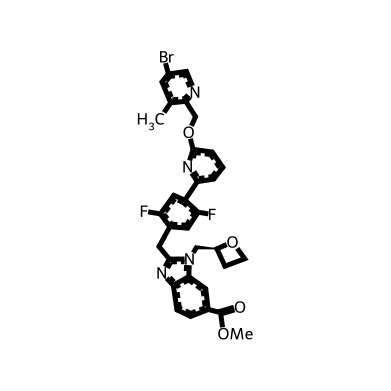 COC(=O)c1ccc2nc(Cc3cc(F)c(-c4cccc(OCc5ncc(Br)cc5C)n4)cc3F)n(C[C@@H]3CCO3)c2c1